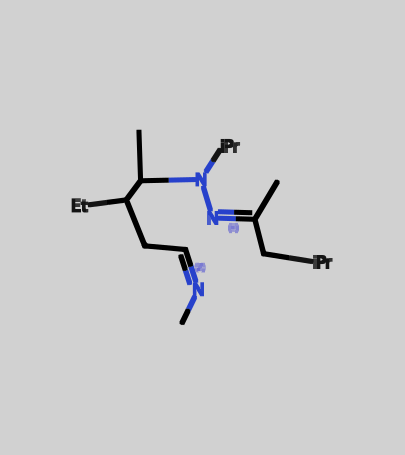 CCC(C/C=N\C)C(C)N(/N=C(\C)CC(C)C)C(C)C